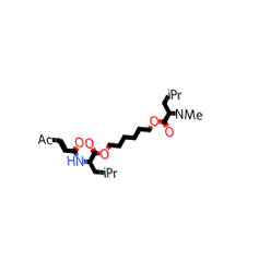 CNC(CC(C)C)C(=O)OCCCCCCOC(=O)C(CC(C)C)NC(=O)/C=C/C(C)=O